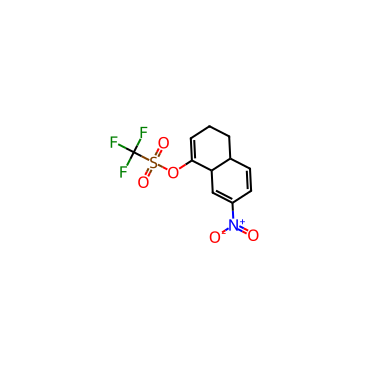 O=[N+]([O-])C1=CC2C(OS(=O)(=O)C(F)(F)F)=CCCC2C=C1